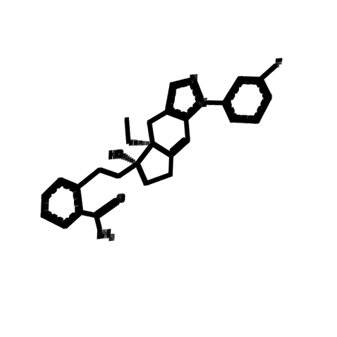 CC[C@]12Cc3cnn(-c4cccc(F)c4)c3C=C1CC[C@@]2(O)CCc1ccccc1C(N)=O